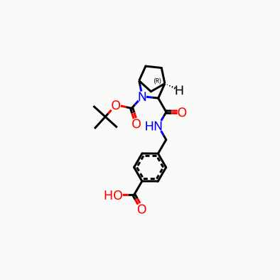 CC(C)(C)OC(=O)N1C2CC[C@H](C2)C1C(=O)NCc1ccc(C(=O)O)cc1